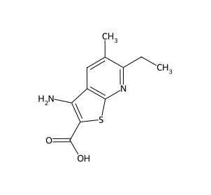 CCc1nc2sc(C(=O)O)c(N)c2cc1C